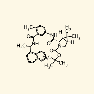 Cc1ccc(NC(=O)[C@@H]2[C@@H]3[C@H](CN2C(=O)OC(C)(C)C)C3(C)C)cc1C(=O)N[C@H](C)c1cccc2ccccc12